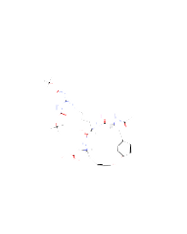 COC(=O)C[C@@H]1CC=CCOc2ccc(cc2)C[C@H](NC(C)=O)C(=O)N[C@@H](CCCCN=C(NC(=O)OC(C)(C)C)NC(=O)OC(C)(C)C)C(=O)N1